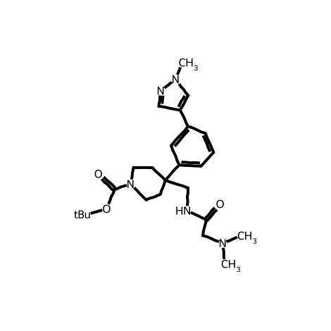 CN(C)CC(=O)NCC1(c2cccc(-c3cnn(C)c3)c2)CCN(C(=O)OC(C)(C)C)CC1